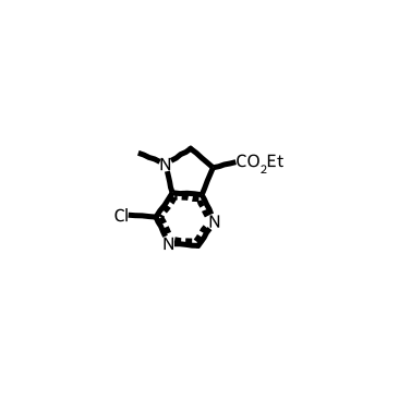 CCOC(=O)C1CN(C)c2c(Cl)ncnc21